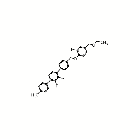 CCOCc1ccc(OCc2ccc(-c3ccc(-c4ccc(C)cc4)c(F)c3F)cc2)c(F)c1